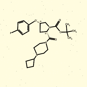 CC(C)(C)OC(=O)N1C[C@@H](Oc2ccc(F)cc2)C[C@H]1C(=O)N1CCN(C2CCC2)CC1